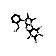 CCn1c(=O)c2c(nc3n(-c4ccccc4CO)c(C)c(C)n23)n(C)c1=O